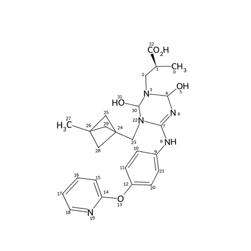 C[C@@H](CN1C(O)N=C(Nc2ccc(Oc3ccccn3)cc2)N(CC23CC(C)(C2)C3)C1O)C(=O)O